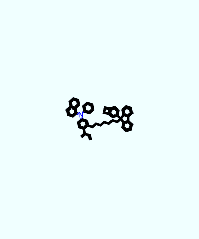 C=CC(=C)c1ccc(N(c2ccccc2)c2cccc3ccccc23)cc1CCCCCCCC1(c2ccc3c(c2)CC3)c2ccccc2-c2ccccc21